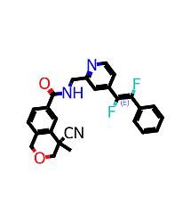 CC1(C#N)COCc2ccc(C(=O)NCc3cc(/C(F)=C(\F)c4ccccc4)ccn3)cc21